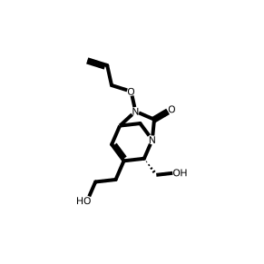 C=CCON1C(=O)N2CC1C=C(CCO)[C@H]2CO